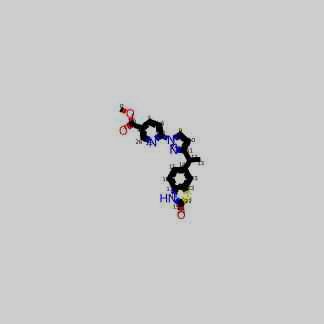 COC(=O)c1ccc(-n2ccc(C(C)c3ccc4[nH]c(=O)sc4c3)n2)nc1